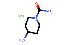 Cl.NC(=O)N1CCC(N)CC1